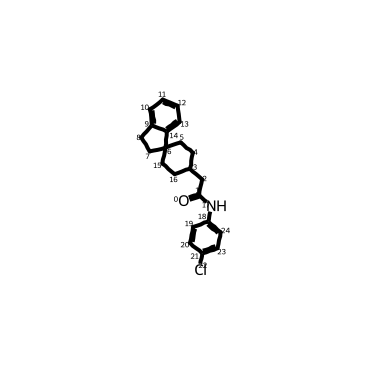 O=C(CC1CCC2(CCc3ccccc32)CC1)Nc1ccc(Cl)cc1